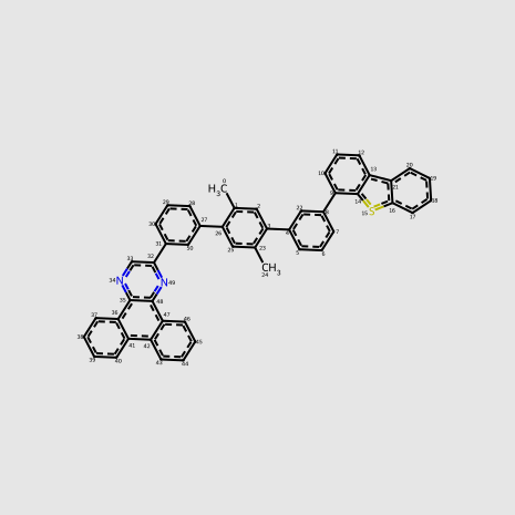 Cc1cc(-c2cccc(-c3cccc4c3sc3ccccc34)c2)c(C)cc1-c1cccc(-c2cnc3c4ccccc4c4ccccc4c3n2)c1